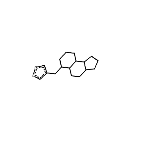 c1nocc1CC1CCCC2C3CCCC3CCC12